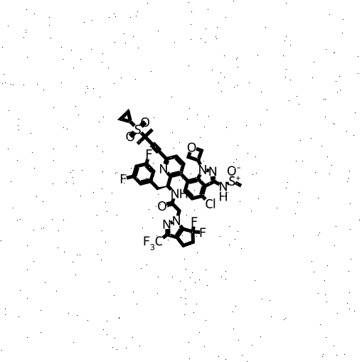 C[S+]([O-])Nc1nn(C2COC2)c2c(-c3ccc(C#CC(C)(C)S(=O)(=O)C4CC4)nc3[C@H](Cc3cc(F)cc(F)c3)NC(=O)Cn3nc(C(F)(F)F)c4c3C(F)(F)CC4)ccc(Cl)c12